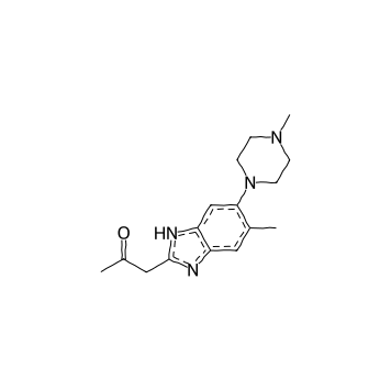 CC(=O)Cc1nc2cc(C)c(N3CCN(C)CC3)cc2[nH]1